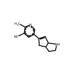 Cc1ncc(C2=CC3NCCC3C2)cc1C#N